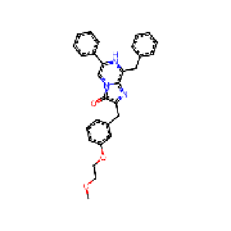 COCCOc1cccc(Cc2nc3c(Cc4ccccc4)[nH]c(-c4ccccc4)cn-3c2=O)c1